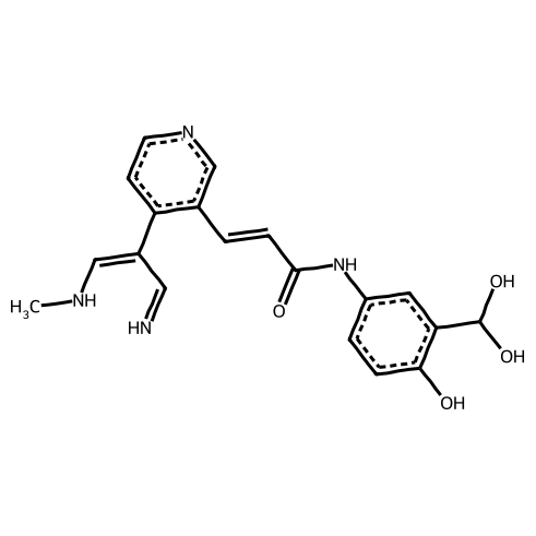 CN/C=C(\C=N)c1ccncc1/C=C/C(=O)Nc1ccc(O)c(C(O)O)c1